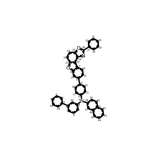 c1ccc(-c2cccc(N(c3ccc(-c4ccc5c(c4)oc4ccc6oc(-c7ccccc7)nc6c45)cc3)c3ccc4ccccc4c3)c2)cc1